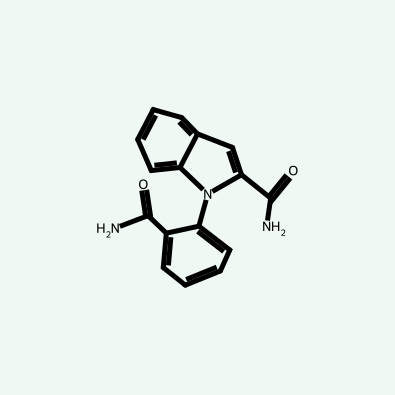 NC(=O)c1ccccc1-n1c(C(N)=O)cc2ccccc21